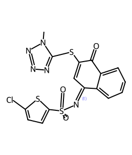 Cn1nnnc1SC1=C/C(=N\S(=O)(=O)c2ccc(Cl)s2)c2ccccc2C1=O